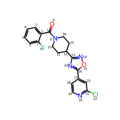 O=C(c1ccccc1F)N1CCC(c2noc(-c3ccnc(Cl)c3)n2)CC1